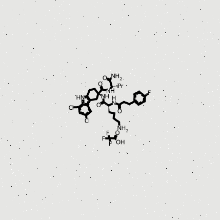 CC(C)[C@H](NC(=O)[C@@]1(NC(=O)[C@H](CCCCN)NC(=O)CCc2ccc(F)cc2)CCc2[nH]c3c(Cl)cc(Cl)cc3c2C1)C(N)=O.O=C(O)C(F)(F)F